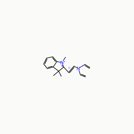 C=CN(C=C)/C=C/C1=[N+](C)c2ccccc2C1(C)C